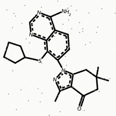 Cc1nn(-c2ccc3c(N)ncnc3c2SC2CCCC2)c2c1C(=O)CC(C)(C)C2